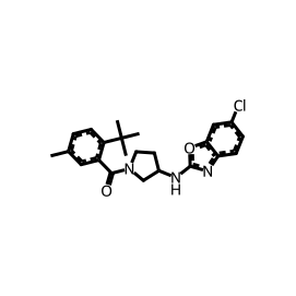 Cc1ccc(C(C)(C)C)c(C(=O)N2CCC(Nc3nc4ccc(Cl)cc4o3)C2)c1